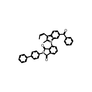 C/C=C\c1c(C)n(-c2cccc3c2C(=O)N(c2ccc(-c4ccccc4)cc2)C3=O)c2cc(C(=O)c3ccccc3)ccc12